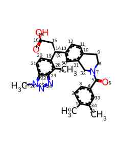 Cc1ccc(C(=O)N2CCc3ccc([C@H](CC(=O)O)c4ccc5c(nnn5C)c4C)cc3C2)cc1C